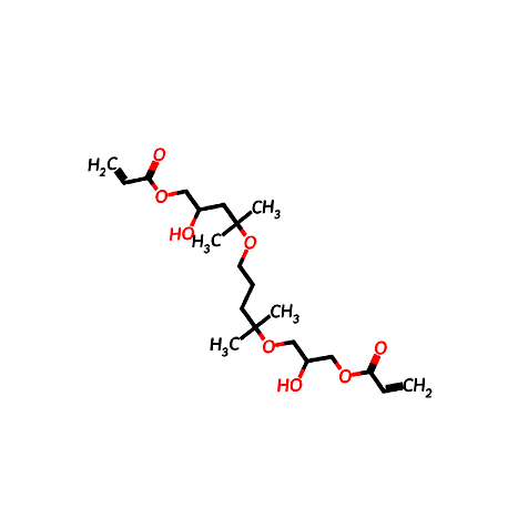 C=CC(=O)OCC(O)COC(C)(C)CCCOC(C)(C)CC(O)COC(=O)C=C